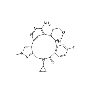 Cn1cc2c(n1)CN(C1CC1)C(=O)c1ccc(F)cc1[C@H]1COCCN1c1cc-2nnc1N